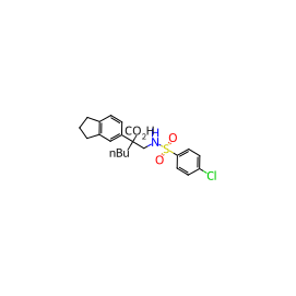 CCCCC(CNS(=O)(=O)c1ccc(Cl)cc1)(C(=O)O)c1ccc2c(c1)CCC2